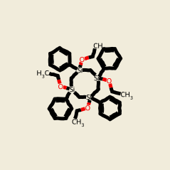 CCO[Si]1(c2ccccc2)C[Si](OCC)(c2ccccc2)C[Si](OCC)(c2ccccc2)C[Si](OCC)(c2ccccc2)C1